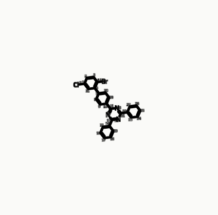 Clc1ccc(Br)c(-c2ccc(-c3nc(-c4ccccc4)nc(-c4ccccc4)n3)cc2)c1